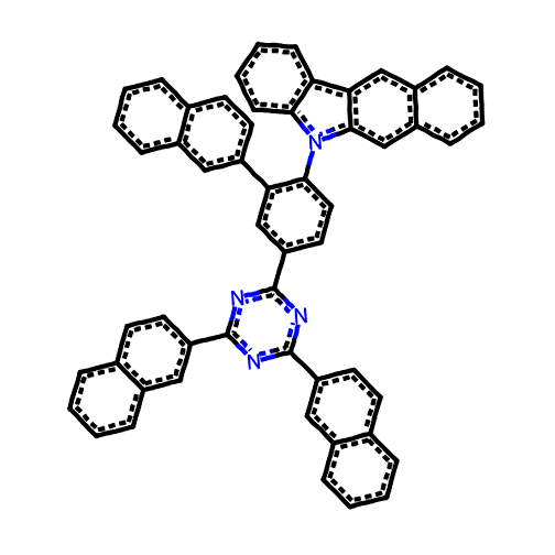 c1ccc2cc(-c3nc(-c4ccc(-n5c6ccccc6c6cc7ccccc7cc65)c(-c5ccc6ccccc6c5)c4)nc(-c4ccc5ccccc5c4)n3)ccc2c1